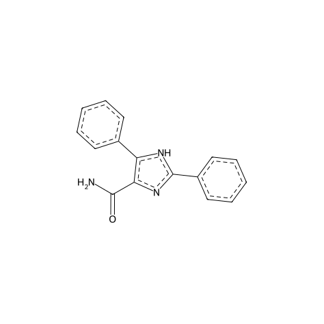 NC(=O)c1nc(-c2ccccc2)[nH]c1-c1ccccc1